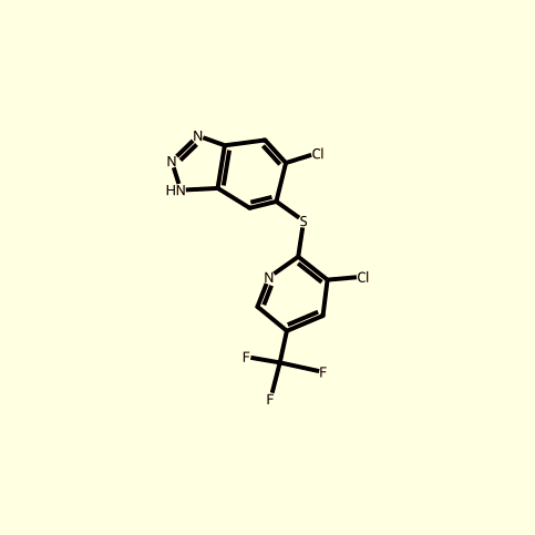 FC(F)(F)c1cnc(Sc2cc3[nH]nnc3cc2Cl)c(Cl)c1